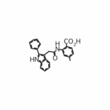 Cc1ccc(C(=O)O)c(NC(=O)Cc2c(-c3ccccc3)[nH]c3ccccc23)c1